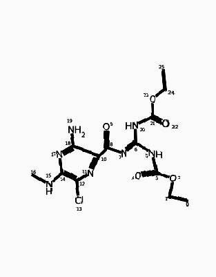 CCOC(=O)NC(=NC(=O)c1nc(Cl)c(NC)nc1N)NC(=O)OCC